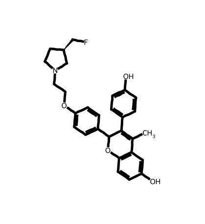 CC1=C(c2ccc(O)cc2)C(c2ccc(OCCN3CC[C@@H](CF)C3)cc2)Oc2ccc(O)cc21